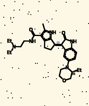 CC[C@H]1COCCN1c1ccc2c(c1)/C(=C1\CCc3c1[nH]c(C)c3C(=O)NCCN(CC)CC)C(=O)N2